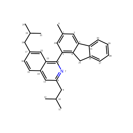 Cc1cc2c(c(-c3nc(CC(C)C)cc4ccc(CC(C)C)cc34)c1)Cc1ccccc1-2